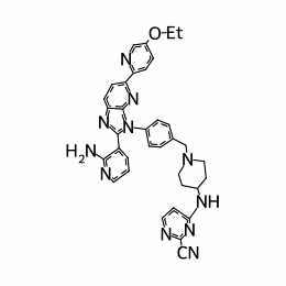 CCOc1ccc(-c2ccc3nc(-c4cccnc4N)n(-c4ccc(CN5CCC(Nc6ccnc(C#N)n6)CC5)cc4)c3n2)nc1